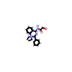 CC[N+]1(CC)C(c2ccccc2)=NC(NC(=O)C=O)c2ccccc21